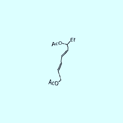 CCC(C=CC=CCOC(C)=O)OC(C)=O